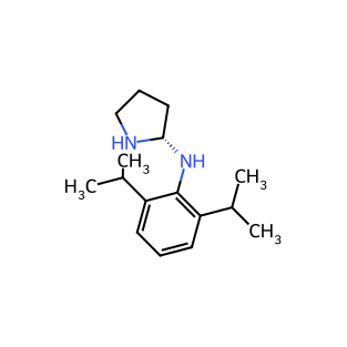 CC(C)c1cccc(C(C)C)c1N[C@H]1CCCN1